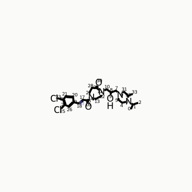 CC(C)N1CCN(CC(O)CN2CCN(C(=O)/C=C/c3ccc(Cl)c(Cl)c3)CCC2=O)CC1C